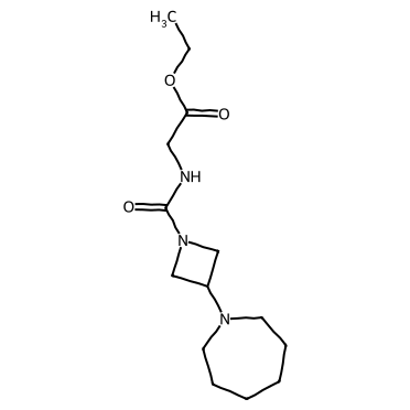 CCOC(=O)CNC(=O)N1CC(N2CCCCCC2)C1